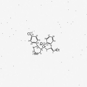 CCC=CCO[C@H]1CNCC[C@@]1(OCc1ccccc1)c1ccc(Cl)cc1